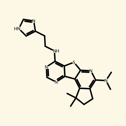 CN(C)c1nc2sc3c(NCCc4c[nH]cn4)ncnc3c2c2c1CCC2(C)C